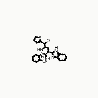 N#Cc1ccccc1NC(=N)/C(=C\C(=N)C(=O)c1cccs1)c1nc2ccccc2[nH]1